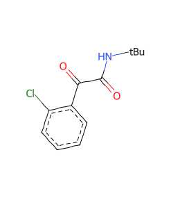 CC(C)(C)NC(=O)C(=O)c1ccccc1Cl